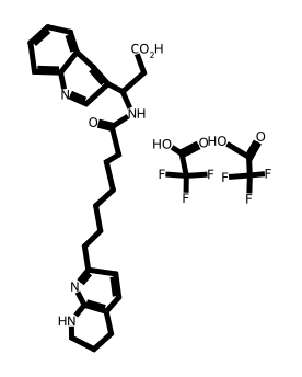 O=C(O)C(F)(F)F.O=C(O)C(F)(F)F.O=C(O)CC(NC(=O)CCCCCCc1ccc2c(n1)NCCC2)c1cnc2ccccc2c1